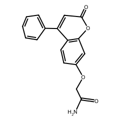 NC(=O)COc1ccc2c(-c3ccccc3)cc(=O)oc2c1